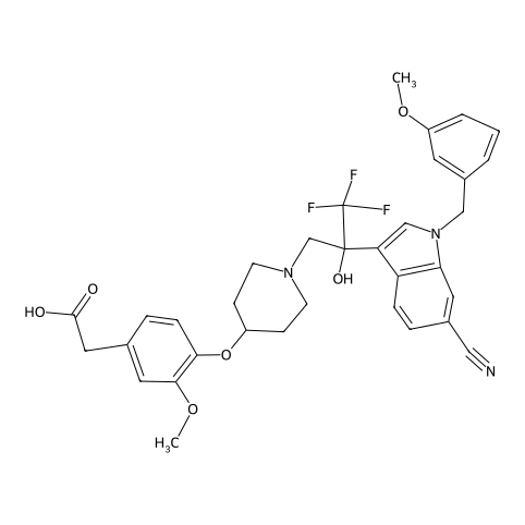 COc1cccc(Cn2cc(C(O)(CN3CCC(Oc4ccc(CC(=O)O)cc4OC)CC3)C(F)(F)F)c3ccc(C#N)cc32)c1